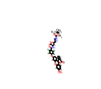 CC(C)(C)OC(=O)NCCCCC(NC(=O)c1c(F)c(F)c(Oc2ccc3c(c2)Oc2cc(O)ccc2C32OC(=O)c3ccccc32)c(F)c1F)C(=O)O